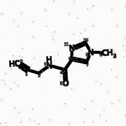 C#CCNC(=O)c1cn(C)cn1